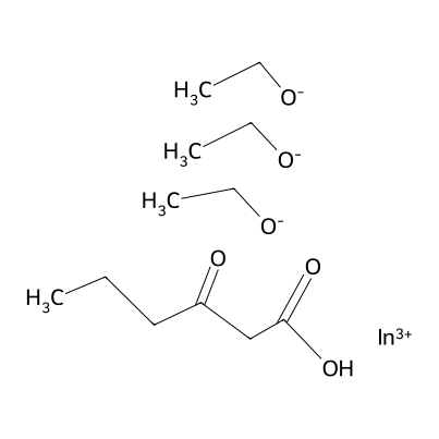 CCCC(=O)CC(=O)O.CC[O-].CC[O-].CC[O-].[In+3]